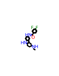 CCNC1CCc2[nH]c3ccc(NC(=O)c4ccc(F)c(F)c4)cc3c2C1